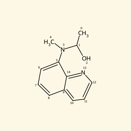 CC(O)N(C)c1cccc2cccnc12